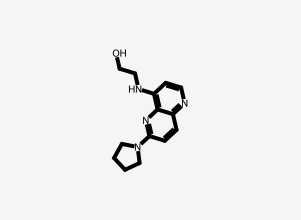 OCCNc1ccnc2ccc(N3CCCC3)nc12